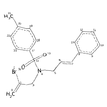 C=C(Br)CN(C/C=C/c1ccccc1)S(=O)(=O)c1ccc(C)cc1